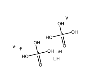 O=P(O)(O)O.O=P(O)(O)O.[F].[LiH].[LiH].[V].[V]